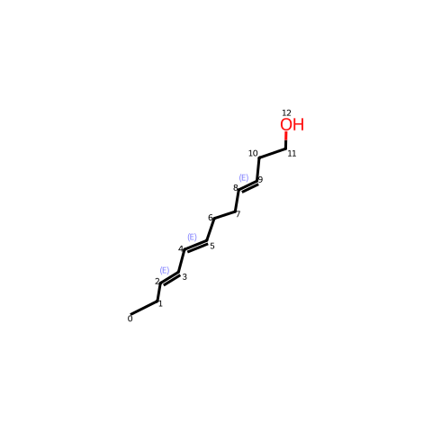 CC/C=C/C=C/CC/C=C/CCO